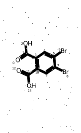 O=C(O)c1cc(Br)c(Br)cc1C(=O)O